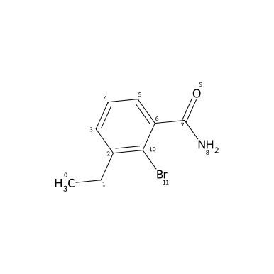 CCc1cccc(C(N)=O)c1Br